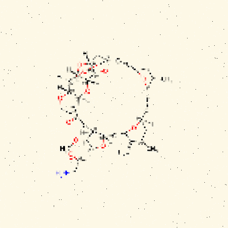 C=C1CC2CC[C@@]34C[C@H]5O[C@H]6[C@@H](O3)[C@H]3OC(CC[C@@H]3O[C@H]6[C@H]5O4)CC(=O)C[C@@H]3[C@@H](OC)[C@@H](C[C@H](O)CN)O[C@H]3CC3O[C@@H](CCC1O2)C[C@@H](C)C3=C